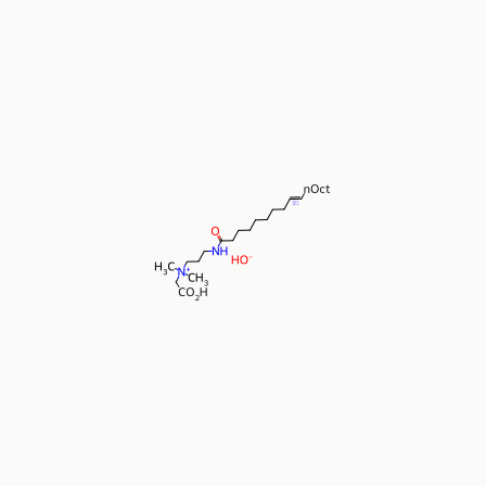 CCCCCCCC/C=C/CCCCCCCC(=O)NCCC[N+](C)(C)CC(=O)O.[OH-]